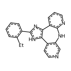 CCc1ccccc1-c1nc2c([nH]1)-c1ccncc1Nc1ncccc1-2